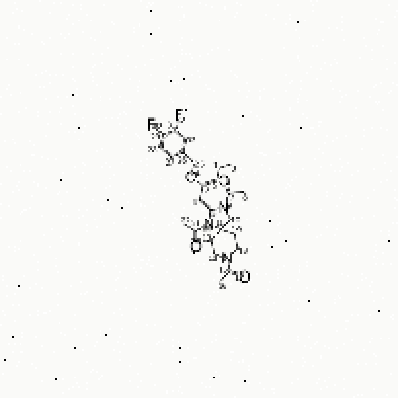 CC/C=C(/C=C1\N(C(C)=O)CC2(CCN(C(C)=O)CC2)N1C(C)=O)OCc1ccc(F)c(F)c1